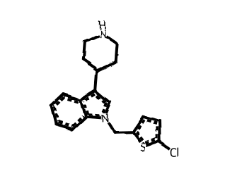 Clc1ccc(Cn2cc(C3CCNCC3)c3ccccc32)s1